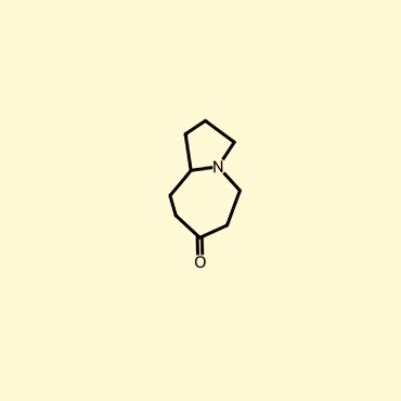 O=C1CCC2CCCN2CC1